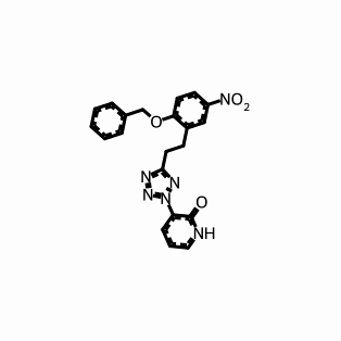 O=c1[nH]cccc1-n1nnc(CCc2cc([N+](=O)[O-])ccc2OCc2ccccc2)n1